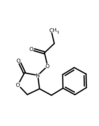 CCC(=O)ON1C(=O)OCC1Cc1ccccc1